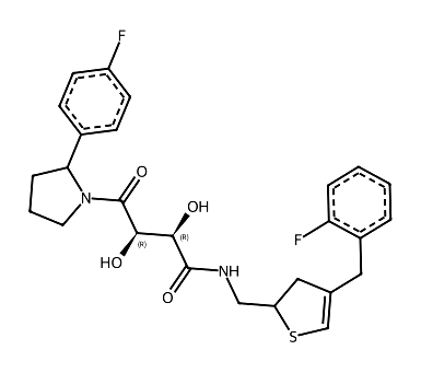 O=C(NCC1CC(Cc2ccccc2F)=CS1)[C@H](O)[C@@H](O)C(=O)N1CCCC1c1ccc(F)cc1